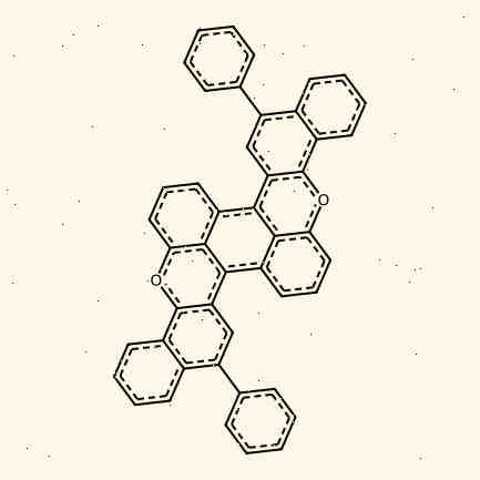 c1ccc(-c2cc3c(oc4cccc5c4c3c3cccc4oc6c7ccccc7c(-c7ccccc7)cc6c5c43)c3ccccc23)cc1